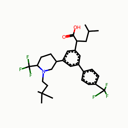 CC(C)CC(C(=O)O)c1cc(-c2ccc(C(F)(F)F)cc2)cc(C2CCC(C(F)(F)F)N(CCC(C)(C)C)C2)c1